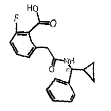 O=C(Cc1cccc(F)c1C(=O)O)N[C@H](c1ccccc1)C1CC1